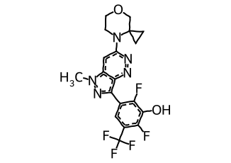 Cn1nc(-c2cc(C(F)(F)F)c(F)c(O)c2F)c2nnc(N3CCOCC34CC4)cc21